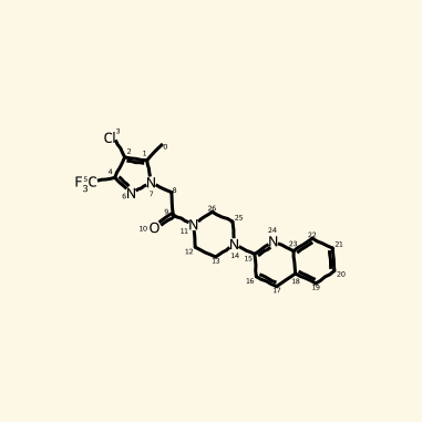 Cc1c(Cl)c(C(F)(F)F)nn1CC(=O)N1CCN(c2ccc3ccccc3n2)CC1